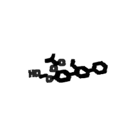 C=C(C)C(=O)Oc1cc(-c2ccc(C3CCCCC3)cc2CC)ccc1OCCO